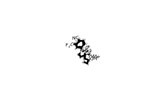 COC[C@@]1([C@H]2CC[C@@H]2O)CCN(c2ccc(C#N)c(C(F)(F)F)c2)S1(=O)=O